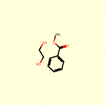 CCCCOC(=O)c1ccccc1.OCCO